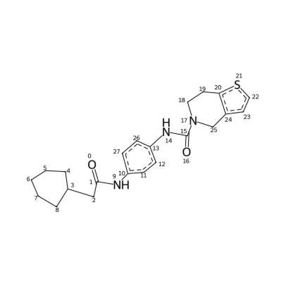 O=C(CC1CCCCC1)Nc1ccc(NC(=O)N2CCc3sccc3C2)cc1